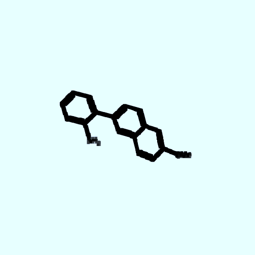 COc1ccc2cc(-c3ccccc3N)ccc2c1